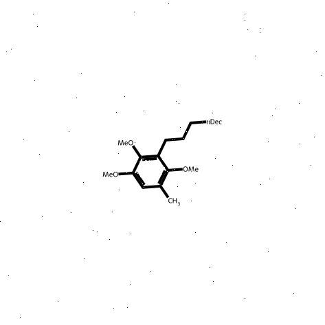 CCCCCCCCCCCCCc1c(OC)c(C)cc(OC)c1OC